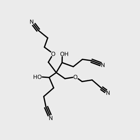 N#CCCOCC(COCCC#N)(C(O)CCC#N)C(O)CCC#N